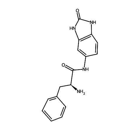 N[C@@H](Cc1ccccc1)C(=O)Nc1ccc2[nH]c(=O)[nH]c2c1